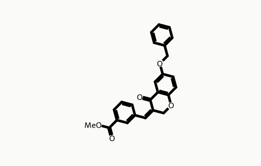 COC(=O)c1cccc(C=C2COc3ccc(OCc4ccccc4)cc3C2=O)c1